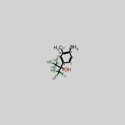 Bc1ccc(C(O)(C(F)(F)F)C(F)(F)F)cc1C